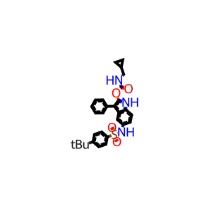 CC(C)(C)c1ccc(S(=O)(=O)Nc2ccc3[nH]c(OC(=O)NCC4CC4)c(-c4ccccc4)c3c2)cc1